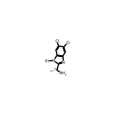 CCn1c([C@@H](C)N)nc2cc(Cl)c(Cl)cc21